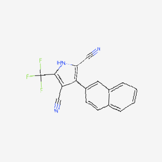 N#Cc1[nH]c(C(F)(F)F)c(C#N)c1-c1ccc2ccccc2c1